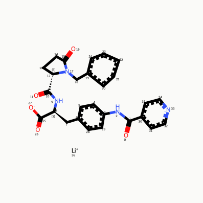 O=C(Nc1ccc(C[C@H](NC(=O)[C@@H]2CCC(=O)N2Cc2ccccc2)C(=O)[O-])cc1)c1ccncc1.[Li+]